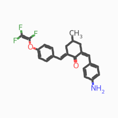 CC1CC(=Cc2ccc(N)cc2)C(=O)C(=Cc2ccc(OC(F)=C(F)F)cc2)C1